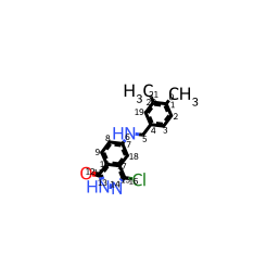 Cc1ccc(CNc2ccc3c(=O)[nH]nc(Cl)c3c2)cc1C